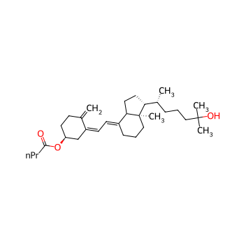 C=C1CC[C@H](OC(=O)CCC)C/C1=C/C=C1CCC[C@@]2(C)C1CC[C@@H]2[C@H](C)CCCC(C)(C)O